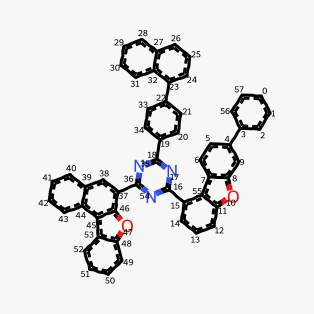 c1ccc(-c2ccc3c(c2)oc2cccc(-c4nc(-c5ccc(-c6cccc7ccccc67)cc5)nc(-c5cc6ccccc6c6c5oc5ccccc56)n4)c23)cc1